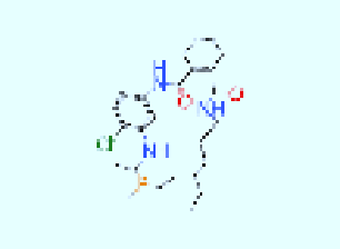 CCCCCCNC(=O)C1=C(C(=O)Nc2ccc(Cl)c(NC(C)P(C)CC)c2)CCCC1